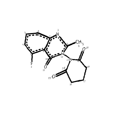 Cc1nc2cccc(F)c2c(=O)n1N1C(=O)CCCC1=O